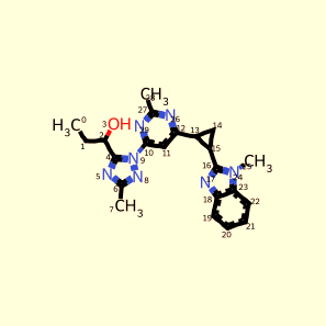 CCC(O)c1nc(C)nn1-c1cc(C2CC2c2nc3ccccc3n2C)nc(C)n1